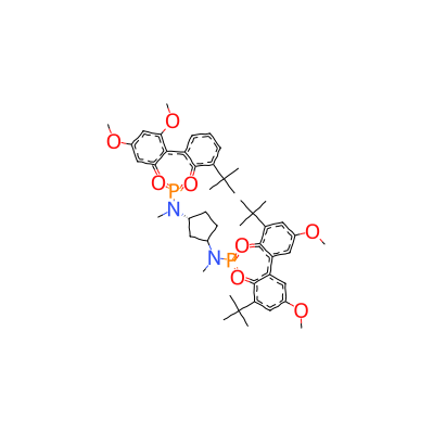 COc1cc(OC)c2c(c1)op(N(C)[C@@H]1CCC(N(C)p3oc4c(C(C)(C)C)cc(OC)cc4c4cc(OC)cc(C(C)(C)C)c4o3)C1)oc1c(C(C)(C)C)cccc12